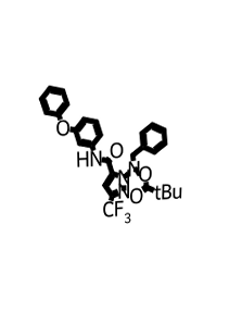 CC(C)(C)C(=O)ON(Cc1ccccc1)n1nc(C(F)(F)F)cc1C(=O)Nc1cccc(Oc2ccccc2)c1